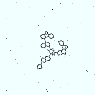 c1ccc(-c2ccc3cc(-c4nc(-c5ccc6ccc7oc8ccccc8c7c6c5)nc(-c5ccc(-c6cccc7oc8ccccc8c67)c6ccccc56)n4)ccc3c2)cc1